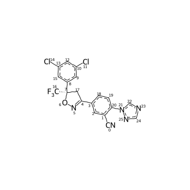 N#Cc1cc(C2=NO[C@](c3cc(Cl)cc(Cl)c3)(C(F)(F)F)C2)ccc1-n1cncn1